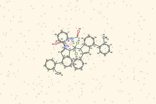 Cc1ccccc1-c1cccc2c1C=C(c1ccccc1)[CH]2[Zr]([Cl])([Cl])([B](NC=O)NC=O)[CH]1C(c2ccccc2)=Cc2c(-c3ccccc3C)cccc21